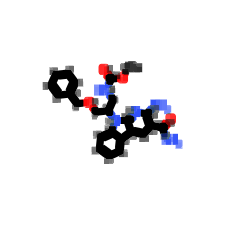 CC(C)(C)OC(=O)NCC(COCc1ccccc1)n1c2ccccc2c2cc(C(N)=O)c(N)nc21